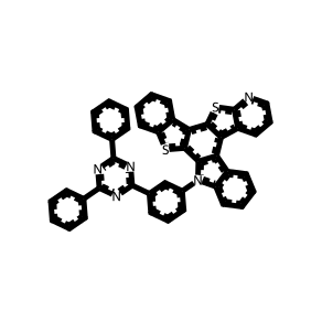 c1ccc(-c2nc(-c3ccccc3)nc(-c3cccc(-n4c5ccccc5c5c6c7cccnc7sc6c6c7ccccc7sc6c54)c3)n2)cc1